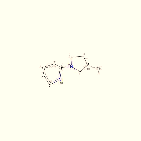 CC[C@H]1CCN(c2ccccn2)C1